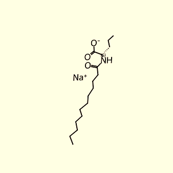 CCCCCCCCCCCC(=O)N[C@@H](CCC)C(=O)[O-].[Na+]